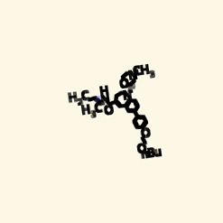 C=C/C=C(\C)NC(=O)C1=Cc2cc(-c3ccc(OCCOCCCC)cc3)ccc2N(C[C@H]2CN(C)CCO2)CC1